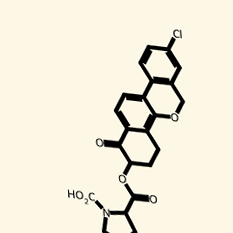 O=C1c2ccc3c(c2CCC1OC(=O)C1CCCN1C(=O)O)OCc1cc(Cl)ccc1-3